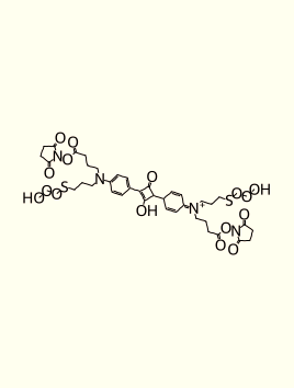 O=C(CCCN(CCCSOOO)c1ccc(C2=C(O)C(C3C=CC(=[N+](CCCSOOO)CCCC(=O)ON4C(=O)CCC4=O)C=C3)C2=O)cc1)ON1C(=O)CCC1=O